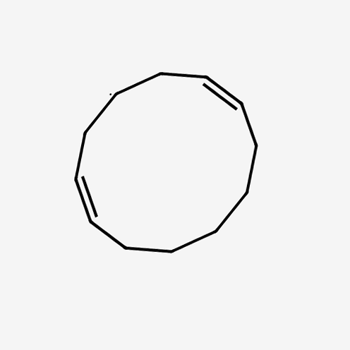 [CH]1CC=CCCCCCC=CC1